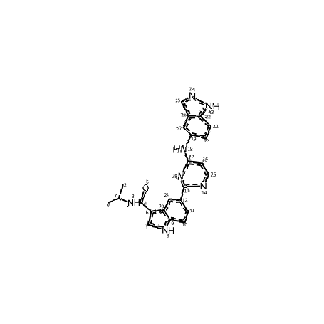 CC(C)NC(=O)c1c[nH]c2ccc(-c3nccc(Nc4ccc5[nH]ncc5c4)n3)cc12